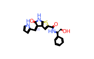 O=C1Nc2sc(C(=O)N[C@@H](CO)c3ccccc3)cc2/C1=C/c1ccc[nH]1